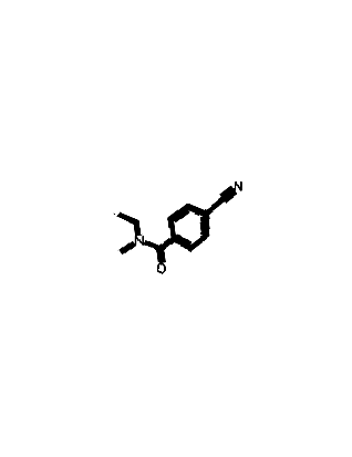 [CH2]CN(C)C(=O)c1ccc(C#N)cc1